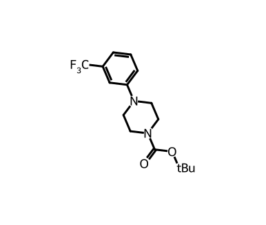 CC(C)(C)OC(=O)N1CCN(c2cccc(C(F)(F)F)c2)CC1